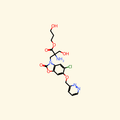 NC(CO)(Cn1c(=O)oc2cc(OCc3cccnn3)c(Cl)cc21)C(=O)OCCCO